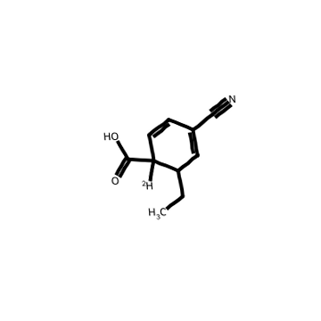 [2H]C1(C(=O)O)C=CC(C#N)=CC1CC